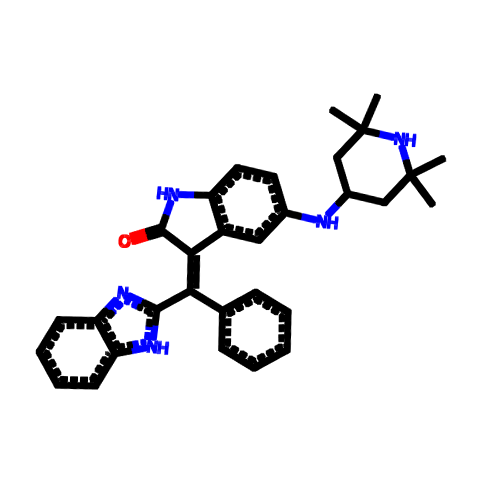 CC1(C)CC(Nc2ccc3c(c2)/C(=C(\c2ccccc2)c2nc4ccccc4[nH]2)C(=O)N3)CC(C)(C)N1